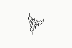 Ic1ccc2nc3c4nc5ccc(I)cc5nc4c4nc5cc(I)ccc5nc4c3nc2c1